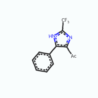 CC(=O)c1nc(C(F)(F)F)[nH]c1-c1ccccc1